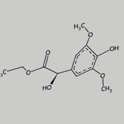 CCOC(=O)[C@H](O)c1cc(OC)c(O)c(OC)c1